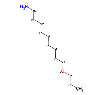 CCCOCCCCCCCCCN